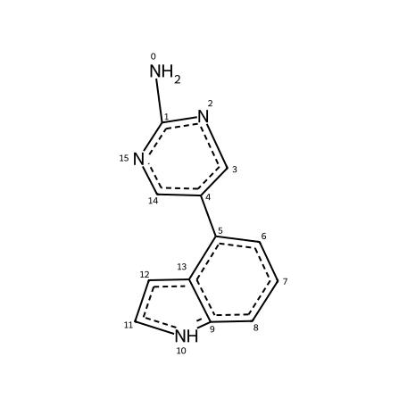 Nc1ncc(-c2cccc3[nH]ccc23)cn1